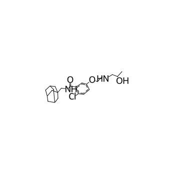 CC(O)CNCCOc1ccc(Cl)c(C(=O)NCC23CC4CC(CC(C4)C2)C3)c1